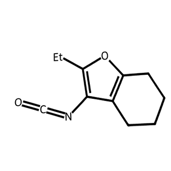 CCc1oc2c(c1N=C=O)CCCC2